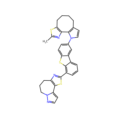 Cc1nc2c(s1)CCCCc1ccn(-c3ccc4sc5c(-c6nc7c(s6)-c6ccnn6CCC7)cccc5c4c3)c1-2